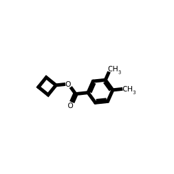 Cc1ccc(C(=O)OC2CCC2)cc1C